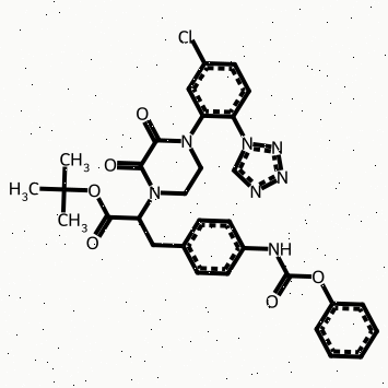 CC(C)(C)OC(=O)C(Cc1ccc(NC(=O)Oc2ccccc2)cc1)N1CCN(c2cc(Cl)ccc2-n2cnnn2)C(=O)C1=O